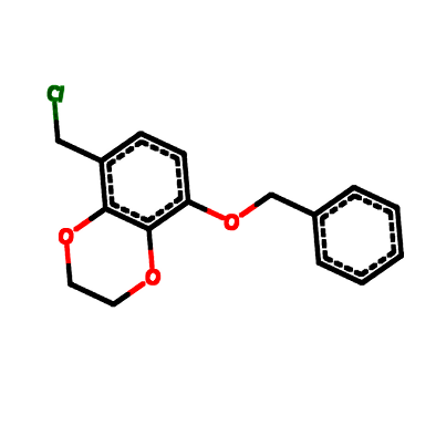 ClCc1ccc(OCc2ccccc2)c2c1OCCO2